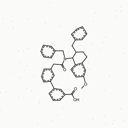 COc1ccc2c(c1)CCC(Cc1ccccc1)C2N(Cc1ccccc1)C(=O)Cc1cccc(-c2cccc(C(=O)O)c2)c1